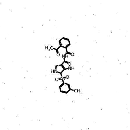 CC(=O)c1ccccc1C(=O)Nc1n[nH]c2c1CNC2S(=O)(=O)c1cccc(C)c1